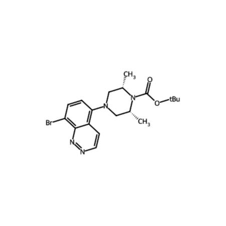 C[C@@H]1CN(c2ccc(Br)c3nnccc23)C[C@H](C)N1C(=O)OC(C)(C)C